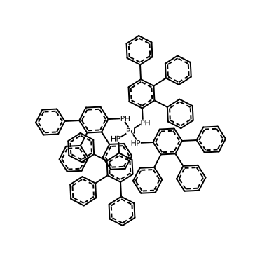 c1ccc(-c2ccc([PH][Pd]([PH]c3ccc(-c4ccccc4)c(-c4ccccc4)c3-c3ccccc3)([PH]c3ccc(-c4ccccc4)c(-c4ccccc4)c3-c3ccccc3)[PH]c3ccc(-c4ccccc4)c(-c4ccccc4)c3-c3ccccc3)c(-c3ccccc3)c2-c2ccccc2)cc1